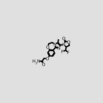 Cc1c(N2C(=O)OCC2C(F)F)nc2n1CCOc1cc(OCC(N)=O)ccc1-2